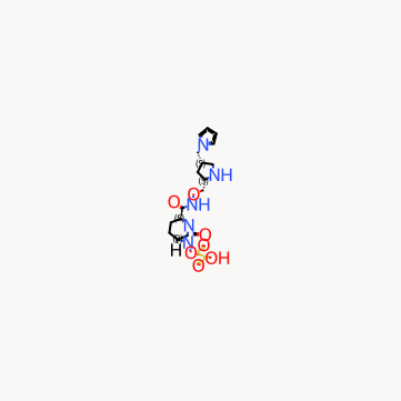 O=C(NOC[C@@H]1C[C@H](Cn2cccc2)CN1)[C@@H]1CC[C@@H]2CN1C(=O)N2OS(=O)(=O)O